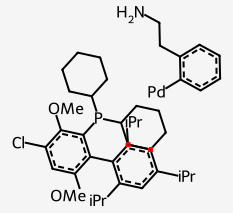 COc1cc(Cl)c(OC)c(P(C2CCCCC2)C2CCCCC2)c1-c1c(C(C)C)cc(C(C)C)cc1C(C)C.NCCc1cccc[c]1[Pd]